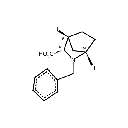 O=C(O)[C@@H]1[C@@H]2CC[C@@H](C2)N1Cc1ccccc1